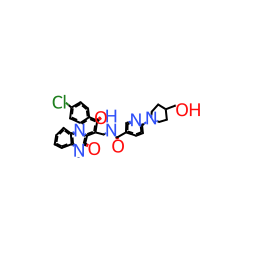 Cn1c(=O)c2c(CNC(=O)c3ccc(N4CCC(CO)CC4)nc3)c(=O)c3ccc(Cl)cc3n2c2ccccc21